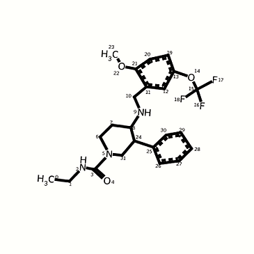 CCNC(=O)N1CCC(NCc2cc(OC(F)(F)F)ccc2OC)C(c2ccccc2)C1